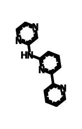 c1ccc(-c2cccc(Nc3cnccn3)n2)nc1